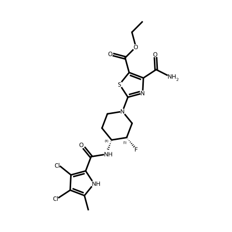 CCOC(=O)c1sc(N2CC[C@@H](NC(=O)c3[nH]c(C)c(Cl)c3Cl)[C@@H](F)C2)nc1C(N)=O